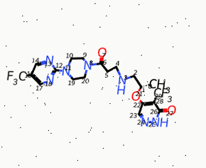 C[C@@H](CNCCC(=O)N1CCN(c2ncc(C(F)(F)F)cn2)CC1)Oc1cn[nH]c(=O)c1C(F)(F)F